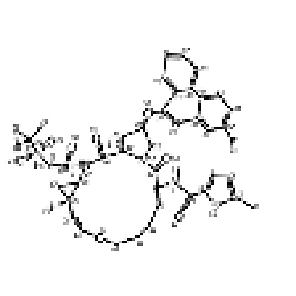 Cc1ccc(C(=O)N[C@H]2CCCCC/C=C\[C@@H]3C[C@@]3(C(=O)NS(=O)(=O)C3(C)CC3)NC(=O)[C@@H]3C[C@@H](Oc4nc5cc(F)ccc5c5ccccc45)CN3C2=O)s1